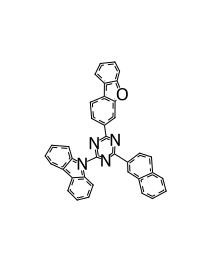 c1ccc2cc(-c3nc(-c4ccc5c(c4)oc4ccccc45)nc(-n4c5ccccc5c5ccccc54)n3)ccc2c1